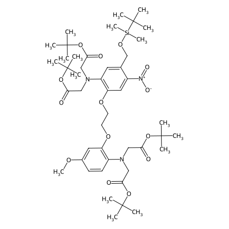 COc1ccc(N(CC(=O)OC(C)(C)C)CC(=O)OC(C)(C)C)c(OCCOc2cc([N+](=O)[O-])c(CO[Si](C)(C)C(C)(C)C)cc2N(CC(=O)OC(C)(C)C)CC(=O)OC(C)(C)C)c1